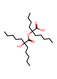 CCCCCC(O)(CCCCC)C(=O)OC(CCCC)(CCCCC)C(=O)O